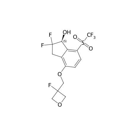 O=S(=O)(c1ccc(OCC2(F)COC2)c2c1[C@H](O)C(F)(F)C2)C(F)(F)F